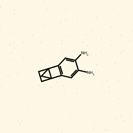 Nc1cc2c(cc1N)C13CCC21C3